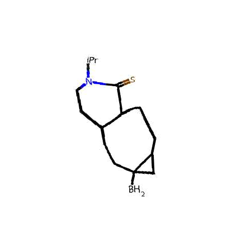 BC12CCC3CCN(C(C)C)C(=S)C3CCC1C2